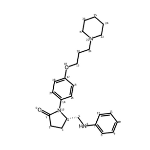 O=C1CC[C@@H](CNc2ccccc2)N1c1ccc(OCCCN2CCCCC2)cc1